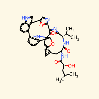 CC(C)C[C@H](O)C(=O)N[C@H]1Cc2ccc3c(c2)C24c5cccc(c5NC2O3)-c2cccc3[nH]cc(c23)-c2cnc(o2)-c2nc(oc24)[C@H](C(C)C)NC1=O